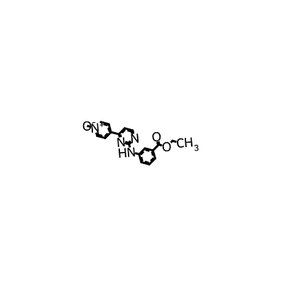 CCOC(=O)c1cccc(Nc2nccc(-c3cc[n+]([O-])cc3)n2)c1